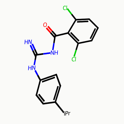 CC(C)c1ccc(NC(=N)NC(=O)c2c(Cl)cccc2Cl)cc1